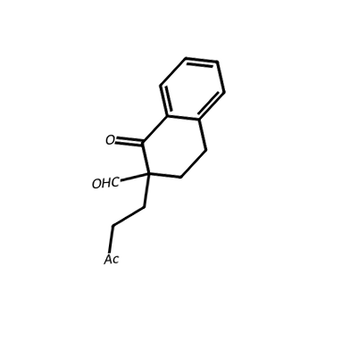 CC(=O)CCC1(C=O)CCc2ccccc2C1=O